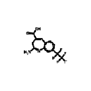 NC1=Nc2cc(C(F)(F)C(F)(F)F)ccc2C=C(C(=O)O)C1